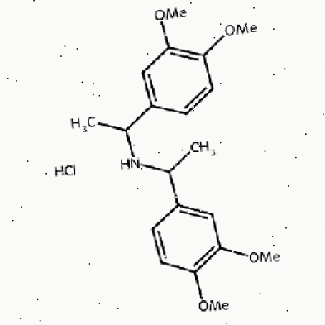 COc1ccc(C(C)NC(C)c2ccc(OC)c(OC)c2)cc1OC.Cl